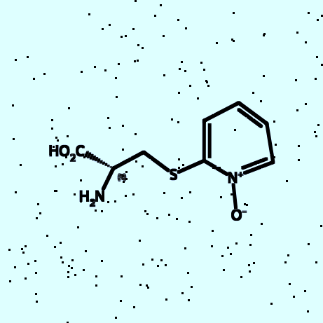 N[C@@H](CSc1cccc[n+]1[O-])C(=O)O